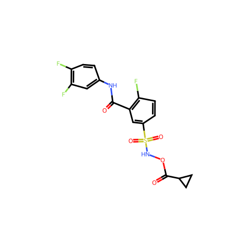 O=C(Nc1ccc(F)c(F)c1)c1cc(S(=O)(=O)NOC(=O)C2CC2)ccc1F